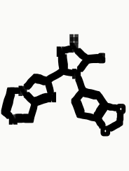 S=c1[nH]nc(-c2cn3ccncc3n2)n1-c1ccc2c(c1)OCO2